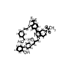 CS(=O)(=O)N1CCc2c(c(-c3ccc(C(F)(F)F)c(SCCN4CCCC(CO)C4)c3)nn2CC(O)CN2CCN(c3ccccc3O)CC2)C1